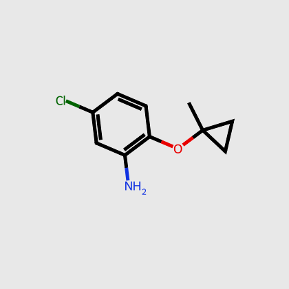 CC1(Oc2ccc(Cl)cc2N)CC1